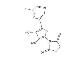 CC(=O)Oc1c(N2C(=O)CCC2=O)oc(-c2cccc(F)c2)c1O